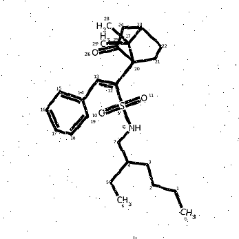 CCCCC(CC)CNS(=O)(=O)C(=Cc1ccccc1)C12CCC(CC1=O)C2(C)C